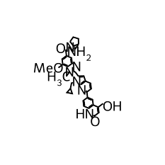 COc1cc(C(=O)N2CC3CCC2C3N)cc2nc(-c3cc4ccc(-c5ccc6[nH]c(=O)cc(CO)c6c5)nc4n3CC3CC3)n(C)c12